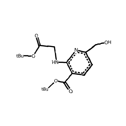 CC(C)(C)OC(=O)CNc1nc(CO)ccc1C(=O)OC(C)(C)C